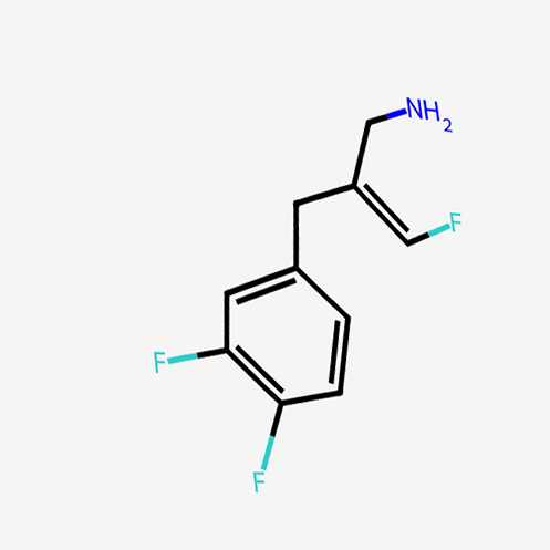 NCC(=CF)Cc1ccc(F)c(F)c1